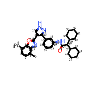 Cc1ccc(C(C)C)c2oc(-c3c[nH]nc3-c3cccc(NC(=O)C(C4CCCCC4)C4CCCCC4)c3)nc12